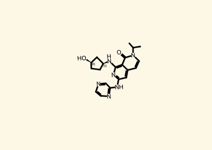 CC(C)n1ccc2cc(Nc3cnccn3)nc(N[C@H]3CC[C@@H](O)C3)c2c1=O